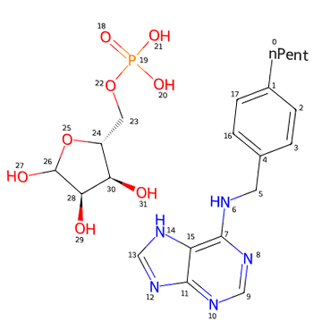 CCCCCc1ccc(CNc2ncnc3nc[nH]c23)cc1.O=P(O)(O)OC[C@H]1OC(O)[C@H](O)[C@@H]1O